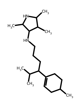 CC1CC=C(C(CCCNC2C(C)NC(C)C2C)C(C)C)CC1